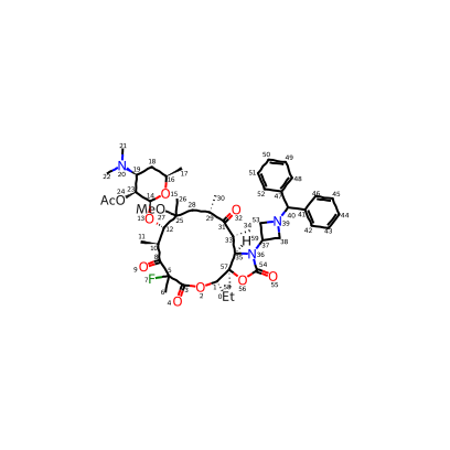 CC[C@@H]1OC(=O)C(C)(F)C(=O)[C@@H](C)[C@H](O[C@@H]2O[C@H](C)C[C@H](N(C)C)[C@@H]2OC(C)=O)C(C)(OC)C[C@H](C)C(=O)[C@H](C)[C@H]2N(C3CN(C(c4ccccc4)c4ccccc4)C3)C(=O)O[C@@]12C